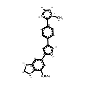 COc1cc(-c2cc(-c3ccc(-c4nnnn4C)cc3)no2)cc2c1OCO2